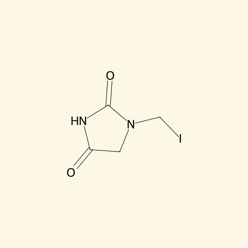 O=C1CN(CI)C(=O)N1